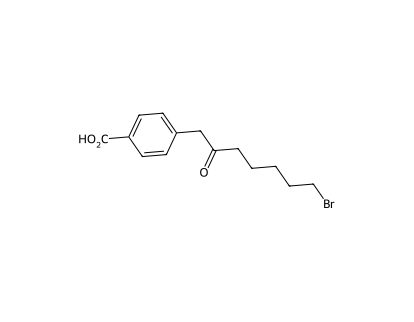 O=C(CCCCCBr)Cc1ccc(C(=O)O)cc1